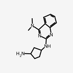 CN(C)c1nc(NC2CCC(N)C2)nc2ccccc12